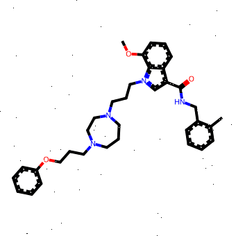 COc1cccc2c(C(=O)NCc3ccccc3C)cn(CCCN3CCCN(CCCOc4ccccc4)CC3)c12